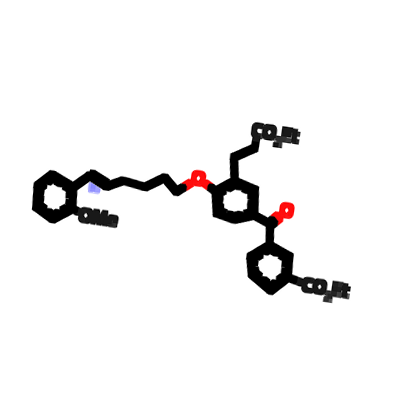 CCOC(=O)CCc1cc(C(=O)c2cccc(C(=O)OCC)c2)ccc1OCCCC/C=C/c1ccccc1OC